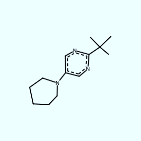 CC(C)(C)c1ncc(N2CCCCC2)cn1